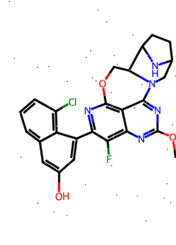 COc1nc2c3c(nc(-c4cc(O)cc5cccc(Cl)c45)c(F)c3n1)OCC1C3CCC(CN21)N3